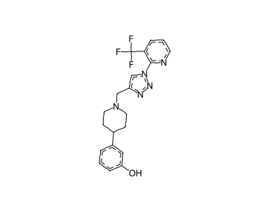 Oc1cccc(C2CCN(Cc3cn(-c4ncccc4C(F)(F)F)nn3)CC2)c1